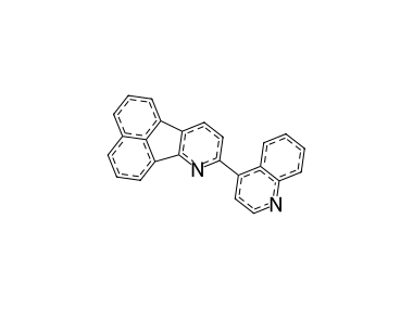 c1cc2c3c(cccc3c1)-c1nc(-c3ccnc4ccccc34)ccc1-2